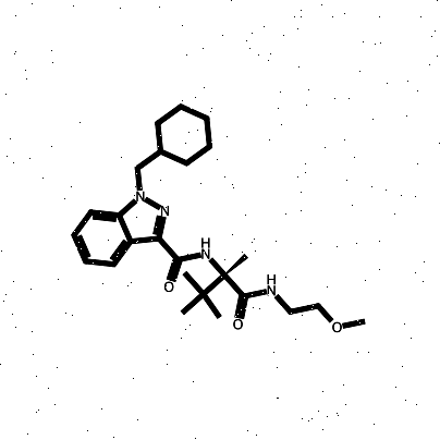 COCCNC(=O)[C@@](C)(NC(=O)c1nn(CC2CCCCC2)c2ccccc12)C(C)(C)C